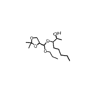 CCCCCC(OC(OCCC)C1COC(C)(C)O1)C(C)O